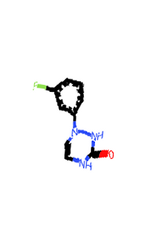 O=C1NC=CN(c2cccc(F)c2)N1